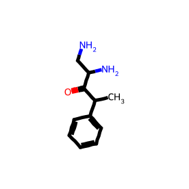 CC(C(=O)C(N)CN)c1ccccc1